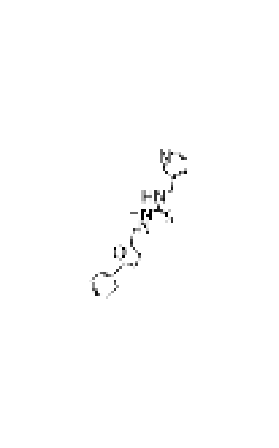 S=C(NCc1cccnc1)N/N=C/C1CC=C(C2=CC=CCC2)O1